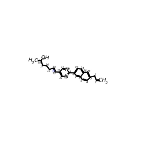 C=CCc1ccc2cc(-c3ncc(/C=C/CCCC(C)O)cn3)ccc2c1